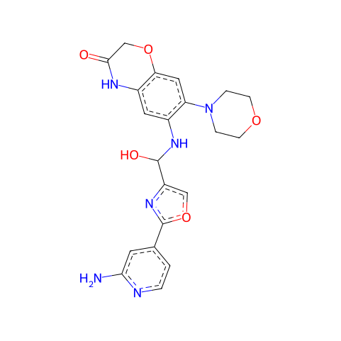 Nc1cc(-c2nc(C(O)Nc3cc4c(cc3N3CCOCC3)OCC(=O)N4)co2)ccn1